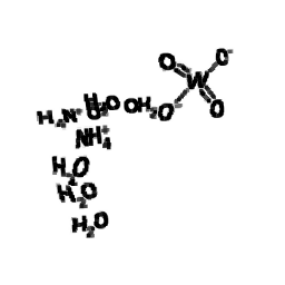 O.O.O.O.O.O.[NH4+].[NH4+].[O]=[W](=[O])([O-])[O-]